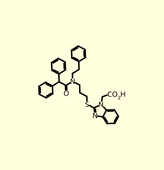 O=C(O)Cn1c(SCCCN(CCc2ccccc2)C(=O)C(c2ccccc2)c2ccccc2)nc2ccccc21